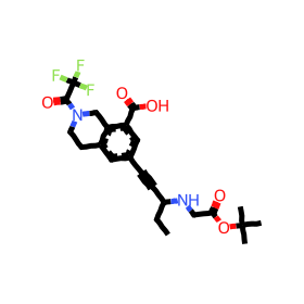 CCC(C#Cc1cc2c(c(C(=O)O)c1)CN(C(=O)C(F)(F)F)CC2)NCC(=O)OC(C)(C)C